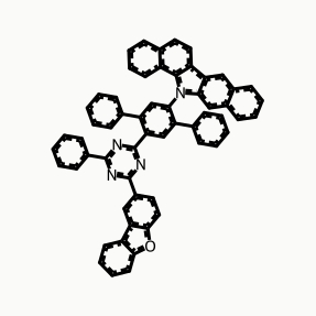 c1ccc(-c2nc(-c3ccc4oc5ccccc5c4c3)nc(-c3cc(-c4ccccc4)c(-n4c5cc6ccccc6cc5c5ccc6ccccc6c54)cc3-c3ccccc3)n2)cc1